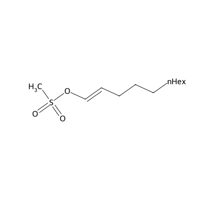 CCCCCCCCCC=COS(C)(=O)=O